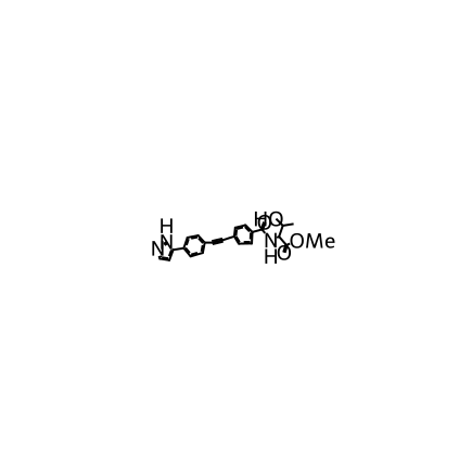 COC(=O)C(NC(=O)c1ccc(C#Cc2ccc(-c3ccn[nH]3)cc2)cc1)C(C)O